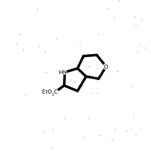 CCOC(=O)C1CC2COCCC2N1